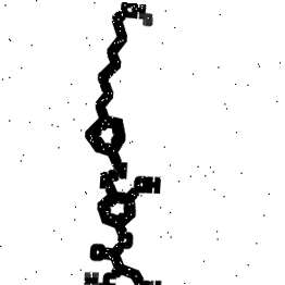 CCCCCCCCc1ccc(N=Nc2ccc(OC(=O)C(C)CC)cc2O)cc1